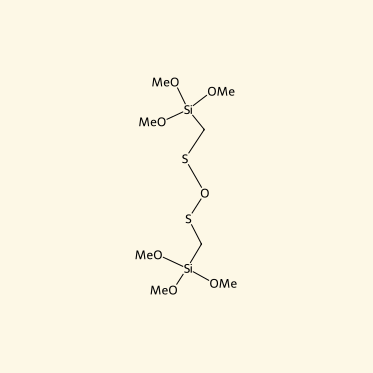 CO[Si](CSOSC[Si](OC)(OC)OC)(OC)OC